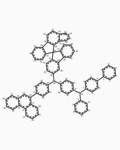 c1ccc(-c2ccc(N(c3ccccc3)c3ccc(N(c4ccc(-c5cc6ccccc6c6ccccc56)cc4)c4ccc5c(c4)-c4ccccc4C54c5ccccc5-c5ccc6ccccc6c54)cc3)cc2)cc1